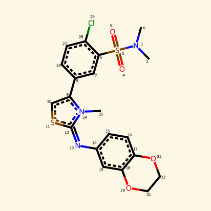 CN(C)S(=O)(=O)c1cc(-c2cs/c(=N/c3ccc4c(c3)OCCO4)n2C)ccc1Cl